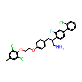 Cc1cc(Cl)c(OCCOC2=CC=C(CC(CN)c3ccc(-c4ccccc4Cl)cc3F)CC2)c(Cl)c1